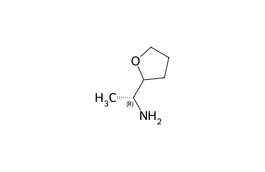 C[C@@H](N)C1CCCO1